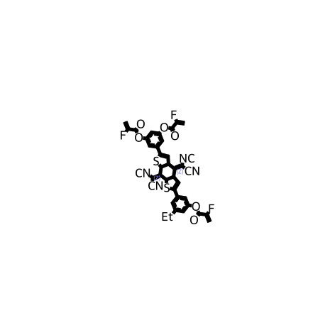 [C-]#[N+]/C(C#N)=C1/C2C=C(c3cc(CC)cc(OC(=O)C(=C)F)c3)SC2/C(=C(\C#N)[N+]#[C-])C2SC(c3cc(OC(=O)C(=C)F)cc(OC(=O)C(=C)F)c3)=CC12